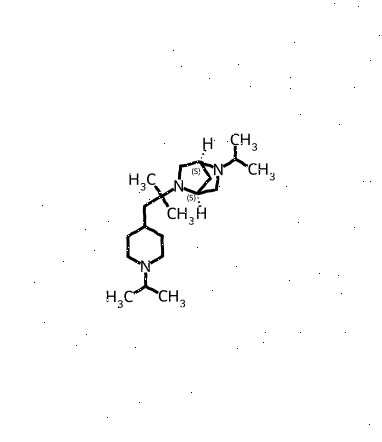 CC(C)N1CCC(CC(C)(C)N2C[C@@H]3C[C@H]2CN3C(C)C)CC1